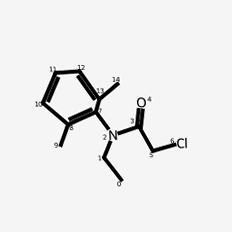 CCN(C(=O)CCl)c1c(C)cccc1C